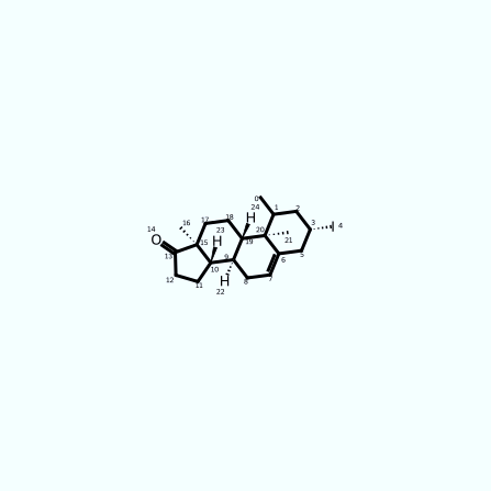 CC1C[C@H](I)CC2=CC[C@H]3[C@@H]4CCC(=O)[C@@]4(C)CC[C@@H]3[C@]21C